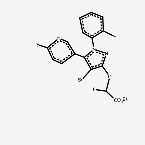 CCOC(=O)C(F)Oc1nn(-c2ccccc2F)c(-c2ccc(F)nc2)c1Br